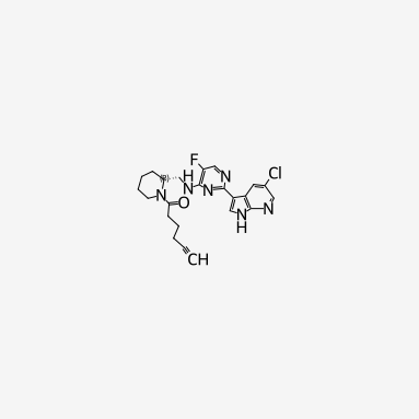 C#CCCCC(=O)N1CCCC[C@@H]1CNc1nc(-c2c[nH]c3ncc(Cl)cc23)ncc1F